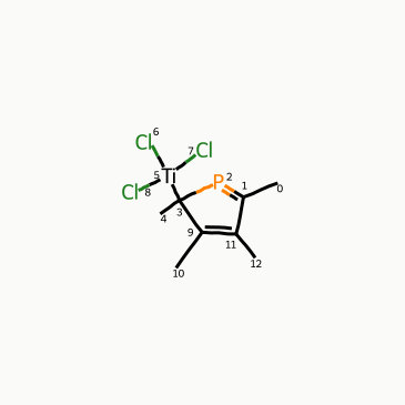 CC1=P[C](C)([Ti]([Cl])([Cl])[Cl])C(C)=C1C